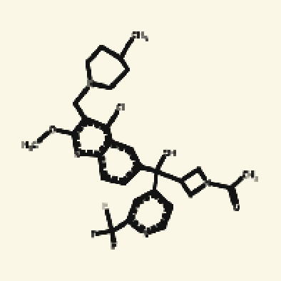 COc1nc2ccc(C(O)(c3ccnc(C(F)(F)F)c3)C3CN(C(C)=O)C3)cc2c(Cl)c1CN1CCC(C)CC1